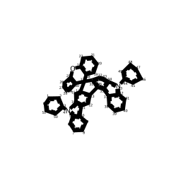 c1ccc(-n2c3ccccc3c3cc4c(cc32)C2(c3ccccc3Oc3ccccc32)c2ccc3c(c2-4)c2ccccc2n3-c2ccccc2)cc1